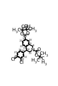 CC(C)(C)OC(=O)N1Cc2cc(B3OC(C)(C)C(C)(C)O3)ccc2C(c2ccc(Cl)c(Cl)c2)C1